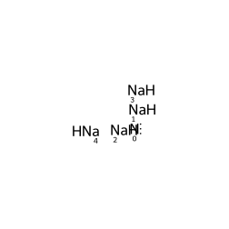 [N].[NaH].[NaH].[NaH].[NaH]